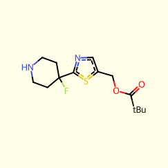 CC(C)(C)C(=O)OCc1cnc(C2(F)CCNCC2)s1